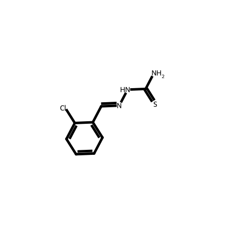 NC(=S)N/N=C/c1ccccc1Cl